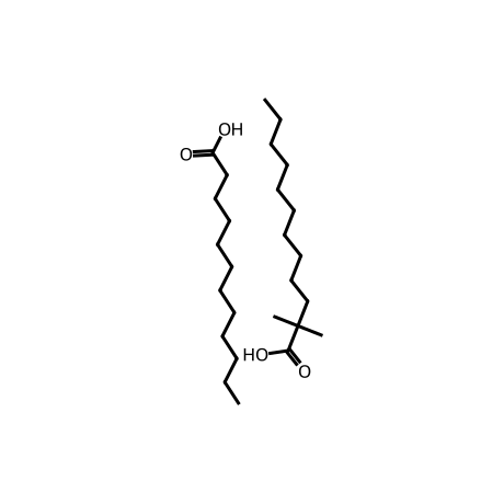 CCCCCCCCCCC(C)(C)C(=O)O.CCCCCCCCCCCC(=O)O